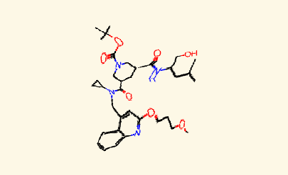 COCCCOc1cc(CN(C(=O)[C@@H]2C[C@H](C(=O)NC(CO)CC(C)C)CN(C(=O)OC(C)(C)C)C2)C2CC2)c2ccccc2n1